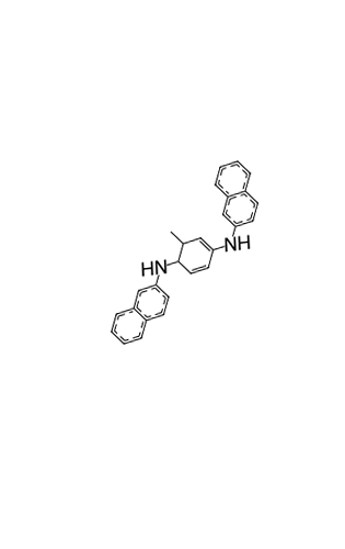 CC1C=C(Nc2ccc3ccccc3c2)C=CC1Nc1ccc2ccccc2c1